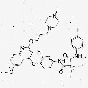 COc1ccc2nc(OCCCN3CCN(C)CC3)cc(Oc3ccc(NC(=O)[C@@]4(C(=O)Nc5ccc(F)cc5)[C@H](C)[C@@H]4C)cc3F)c2c1